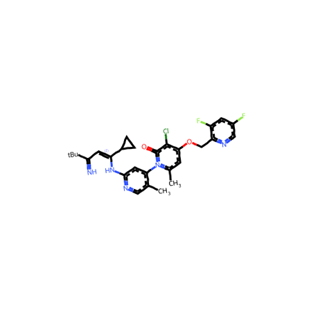 Cc1cnc(N/C(=C\C(=N)C(C)(C)C)C2CC2)cc1-n1c(C)cc(OCc2ncc(F)cc2F)c(Cl)c1=O